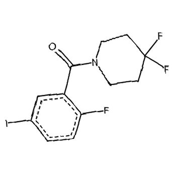 O=C(c1cc(I)ccc1F)N1CCC(F)(F)CC1